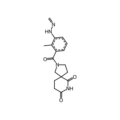 C=NNc1cccc(C(=O)N2CCC3(CCC(=O)NC3=O)C2)c1C